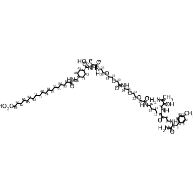 Cc1ccc(C[C@H](NCCC(=O)[C@H](CCCCNC(=O)COCCOCCNC(=O)COCCOCCNC(=O)[C@H](NC(=O)[C@H]2CC[C@H](CNC(=O)CCCCCCCCCCCCCCCCCCC(=O)O)CC2)C(=O)O)NCC(O)[C@H](C)N)C(N)=O)cc1